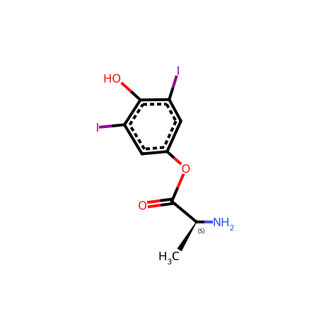 C[C@H](N)C(=O)Oc1cc(I)c(O)c(I)c1